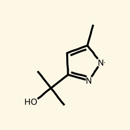 CC1=CC(C(C)(C)O)=N[N]1